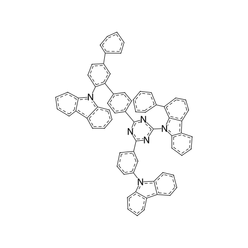 c1ccc(-c2ccc(-n3c4ccccc4c4ccccc43)c(-c3ccc(-c4nc(-c5cccc(-n6c7ccccc7c7ccccc76)c5)nc(-n5c6ccccc6c6cccc(-c7ccccc7)c65)n4)cc3)c2)cc1